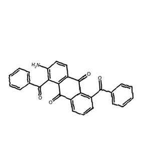 Nc1ccc2c(c1C(=O)c1ccccc1)C(=O)c1cccc(C(=O)c3ccccc3)c1C2=O